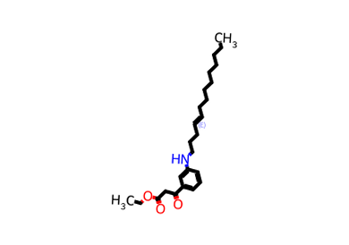 CCCCCCCCC/C=C/CCCNc1cccc(C(=O)CC(=O)OCC)c1